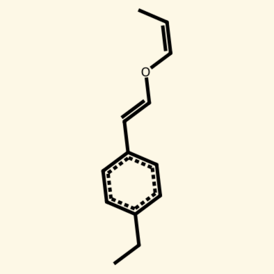 C/C=C\O/C=C/c1ccc(CC)cc1